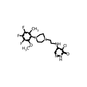 COc1c(F)c(F)c(F)c(C)c1N1CCN(CCNc2cn[nH]c(=O)c2Cl)CC1